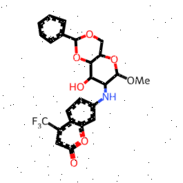 COC1OC2COC(c3ccccc3)OC2C(O)C1Nc1ccc2c(C(F)(F)F)cc(=O)oc2c1